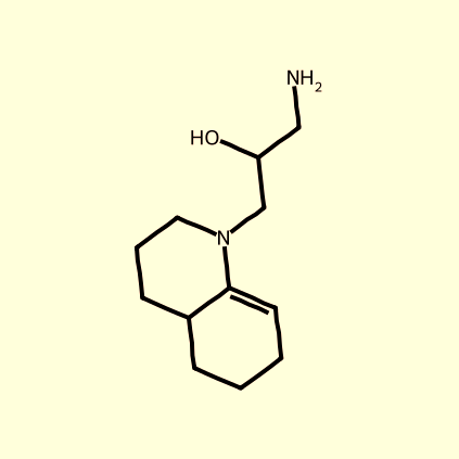 NCC(O)CN1CCCC2CCCC=C21